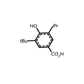 CC(C)c1cc(C(=O)O)cc(C(C)(C)C)c1O